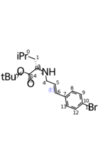 CC(C)C[C@H](NC/C=C/c1ccc(Br)cc1)C(=O)OC(C)(C)C